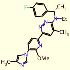 CCN(c1nnc(-c2ccc(-n3cnc(C)c3)c(OC)n2)cc1C)[C@@H](C)c1ccc(F)cc1